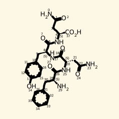 NC(=O)C[C@H](NC(=O)[C@H](Cc1ccc(O)cc1)NC(=O)[C@H](CC(N)=O)NC(=O)[C@@H](N)Cc1ccccc1)C(=O)O